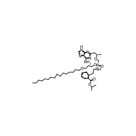 CCCCCCCCCCCCCCCCOCCCO[P@@](=O)(CO[C@H](C)Cc1nc(N)c2nc[nH]c2n1)NCCc1ccccc1C(=O)OC(C)C